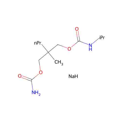 CCCC(C)(COC(N)=O)COC(=O)NC(C)C.[NaH]